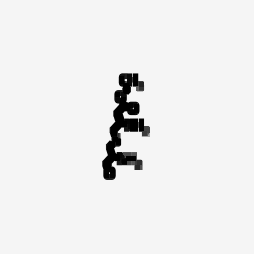 CCOC(=O)C=C(N)CSCC(N)C=O